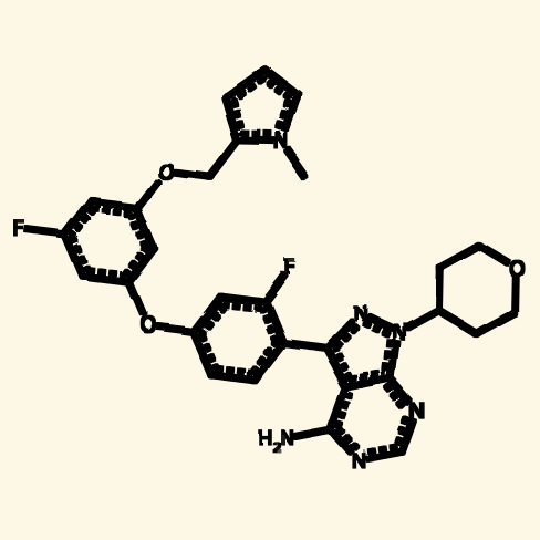 Cn1cccc1COc1cc(F)cc(Oc2ccc(-c3nn(C4CCOCC4)c4ncnc(N)c34)c(F)c2)c1